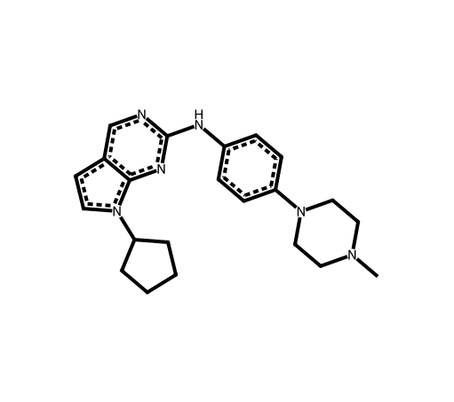 CN1CCN(c2ccc(Nc3ncc4ccn(C5CCCC5)c4n3)cc2)CC1